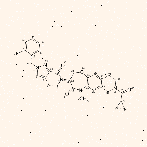 CN1C(=O)[C@@H](N2CCc3cn(Cc4ccccc4F)nc3C2=O)COc2cc3c(cc21)CN(C(=O)C1CC1)CC3